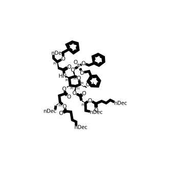 CCCCCCCCCCCCCC(=O)O[C@H](CCCCCCCCCCC)CC(=O)O[C@@H]1[C@@H](NC(=O)C[C@@H](CCCCCCCCCCC)OCc2ccccc2)[C@@H](OP(=O)(OCc2ccccc2)OCc2ccccc2)O[C@H](CO)[C@H]1OC(=O)C[C@@H](CCCCCCCCCCC)OC(=O)CCCCCCCCCCCCC